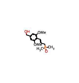 COc1cc(CO)cc(OC)c1/C=C/CP(C)(C)=O